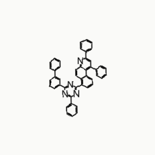 c1ccc(-c2cccc(-c3nc(-c4ccccc4)nc(-c4cccc5c4ccc4nc(-c6ccccc6)cc(-c6ccccc6)c45)n3)c2)cc1